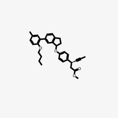 CC#C[C@@H](CC(=O)OC)c1ccc(OC2CCc3ccc(-c4cc(C)ccc4OCCCC)cc32)cc1